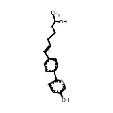 CC(O)CCC/C=C/c1ccc(-c2ccc(O)cn2)cc1